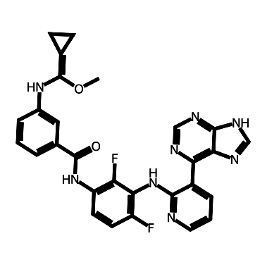 COC(Nc1cccc(C(=O)Nc2ccc(F)c(Nc3ncccc3-c3ncnc4[nH]cnc34)c2F)c1)=C1CC1